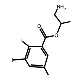 CC(CN)OC(=O)c1cc(I)cc(I)c1I